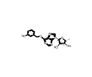 C[C@H]1O[C@@H](n2cnc3c(OCc4cccc(C#N)c4)ncnc32)[C@H](O)[C@@H]1O